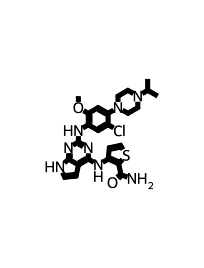 COc1cc(N2CCN(C(C)C)CC2)c(Cl)cc1Nc1nc(Nc2ccsc2C(N)=O)c2cc[nH]c2n1